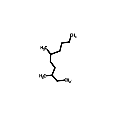 [CH2]CC(C)CCC(C)CCCC